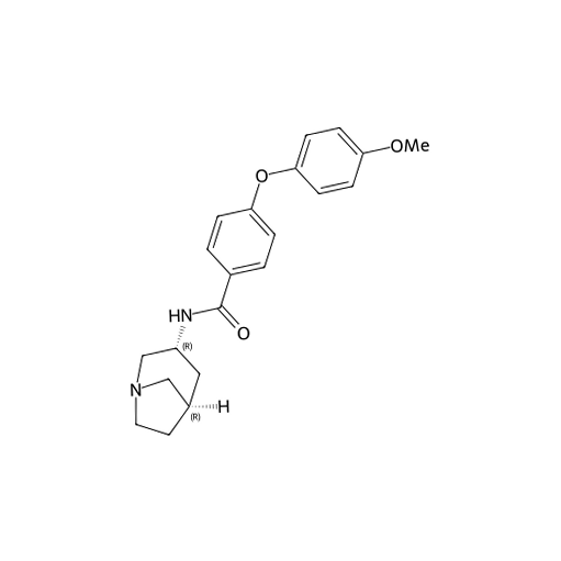 COc1ccc(Oc2ccc(C(=O)N[C@@H]3C[C@H]4CCN(C4)C3)cc2)cc1